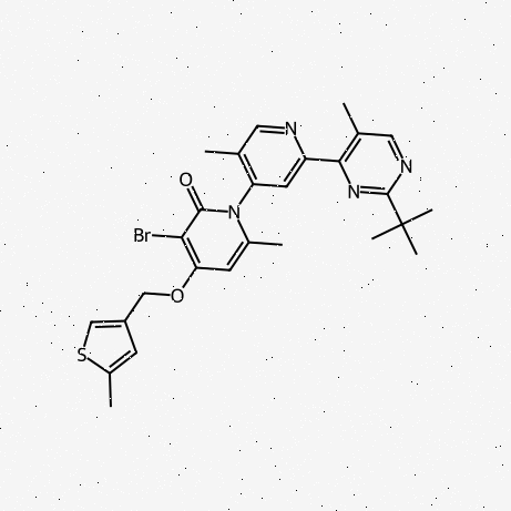 Cc1cc(COc2cc(C)n(-c3cc(-c4nc(C(C)(C)C)ncc4C)ncc3C)c(=O)c2Br)cs1